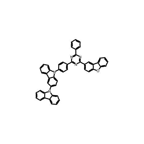 c1ccc(-c2nc(-c3ccc(-n4c5ccccc5c5cc(-n6c7ccccc7c7ccccc76)ccc54)cc3)nc(-c3ccc4oc5ccccc5c4c3)n2)cc1